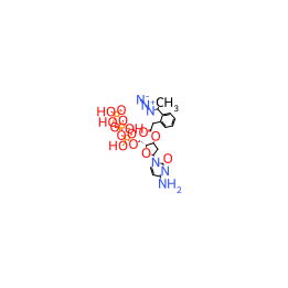 CC(N=[N+]=[N-])c1ccccc1CC(=O)O[C@@H]1C[C@H](n2ccc(N)nc2=O)O[C@@H]1COP(=O)(O)OP(=O)(O)OP(=O)(O)O